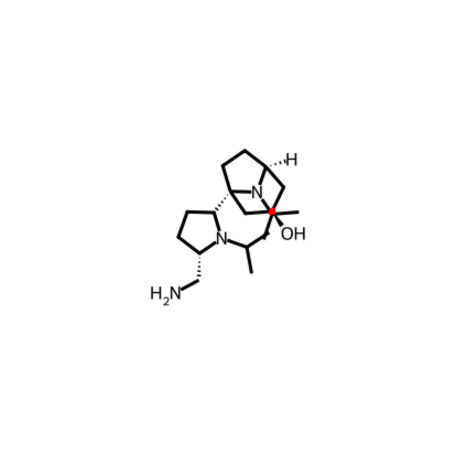 CC(C)N1C([C@@]23CC[C@@H](C[C@@H](O)C2)N3C(C)C)CC[C@H]1CN